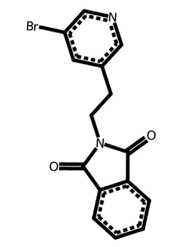 O=C1c2ccccc2C(=O)N1CCc1cncc(Br)c1